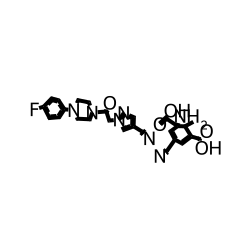 CC1C(C(=O)O)=CC(C#N)=CC1(N)C(=O)O.N#Cc1cnn(CC(=O)N2CCN(c3ccc(F)cc3)CC2)c1